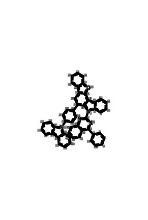 c1ccc(-c2nc(-n3c4ccccc4c4c5oc6ccccc6c5cc(-c5ccc(-n6c7ccccc7c7ccccc76)cc5)c43)nc3ccccc23)cc1